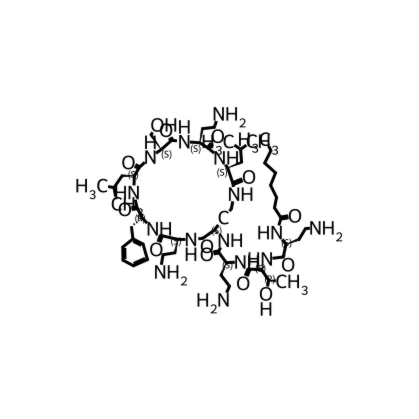 CCCCCCCC(=O)N[C@@H](CCN)C(=O)N[C@H](C(=O)N[C@@H](CCN)C(=O)N[C@H]1CCNC(=O)[C@H](CC(C)C)NC(=O)[C@H](CCN)NC(=O)[C@H](CO)NC(=O)[C@H](CC(C)C)NC(=O)[C@@H](Cc2ccccc2)NC(=O)[C@H](CCN)NC1=O)[C@@H](C)O